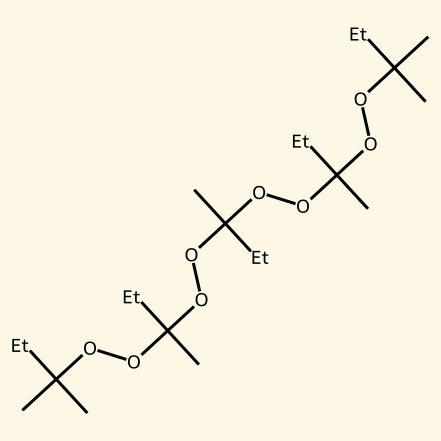 CCC(C)(C)OOC(C)(CC)OOC(C)(CC)OOC(C)(CC)OOC(C)(C)CC